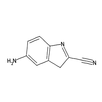 N#CC1=Nc2ccc(N)cc2C1